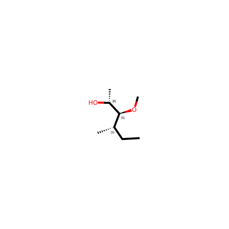 CC[C@H](C)[C@H](OC)[C@@H](C)O